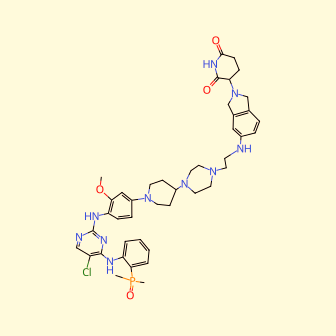 COc1cc(N2CCC(N3CCN(CCNc4ccc5c(c4)CN(C4CCC(=O)NC4=O)C5)CC3)CC2)ccc1Nc1ncc(Cl)c(Nc2ccccc2P(C)(C)=O)n1